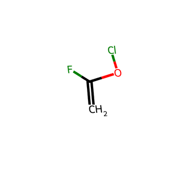 C=C(F)OCl